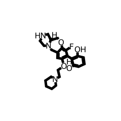 Oc1cccc(O)c1-c1c(OCCN2CCCCC2)cc2c(c1F)OC[C@H]1CNCCN1C2